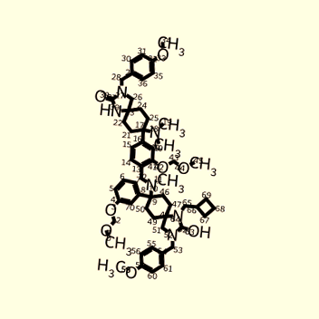 COCOc1cccc(C2(N(C)Cc3ccc(C4(N(C)C)CCC5(CC4)CN(Cc4ccc(OC)cc4)C(=O)N5)cc3OCOC)CCC3(CC2)CN(Cc2ccc(OC)cc2)C(O)N3CC2CCC2)c1